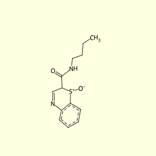 CCCCNC(=O)C1C=Nc2ccccc2[S+]1[O-]